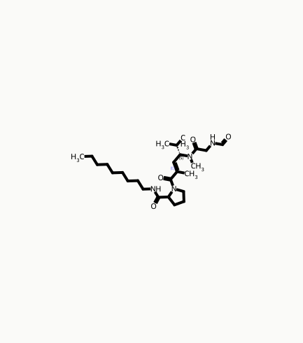 CCCCCCCCCNC(=O)C1CCCN1C(=O)/C(C)=C/[C@H](C(C)C)N(C)C(=O)CNC=O